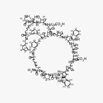 CC(C)[C@@H]1NC(=O)[C@H](Cc2c[nH]c3ccccc23)NC(=O)[C@@H]2CSCC(=O)N3Cc4cccc(c4)CN(Cc4cccc(c4)CN(Cc4cccc(c4)C3)C(=O)CSC[C@H](NC(=O)[C@H](C)N)C(=O)N[C@@H]([C@@H](C)O)C(=O)N[C@@H](CCC(=O)O)C(=O)N2)C(=O)CSC[C@@H](C(N)=O)NC(=O)[C@@H]2CCCN2C(=O)[C@H](C(C)C)NC(=O)[C@H](Cc2c[nH]c3ccccc23)NC(=O)CNC(=O)[C@H](CC(=O)O)NC1=O